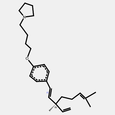 C=C[C@@](C)(/C=C/c1ccc(OCCCCN2CCCC2)cc1)CCC=C(C)C